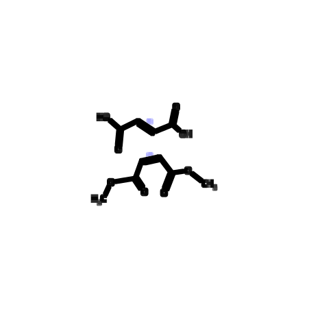 COC(=O)/C=C\C(=O)OC.O=C(O)/C=C/C(=O)O